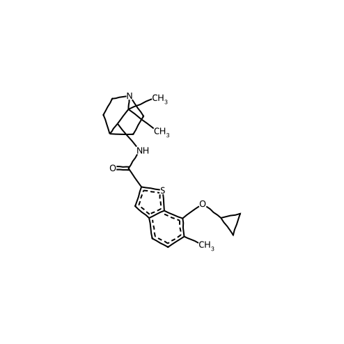 Cc1ccc2cc(C(=O)NC3C4CCN(CC4)C3(C)C)sc2c1OC1CC1